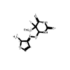 CCOC(=O)C1(F)C(=O)NC(=O)NC1ON=C1C=COC1C